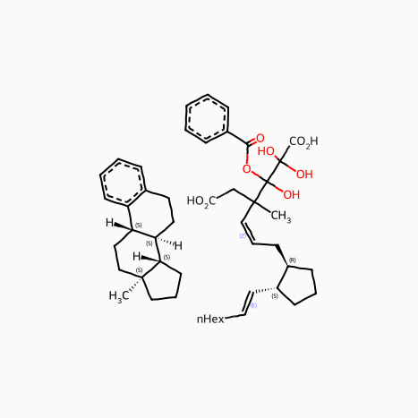 CCCCCC/C=C/[C@H]1CCC[C@@H]1C/C=C\C(C)(CC(=O)O)C(O)(OC(=O)c1ccccc1)C(O)(O)C(=O)O.C[C@@]12CCC[C@H]1[C@@H]1CCc3ccccc3[C@H]1CC2